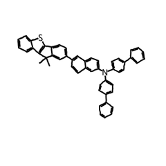 CC1(C)c2cc(-c3ccc4cc(N(c5ccc(-c6ccccc6)cc5)c5ccc(-c6ccccc6)cc5)ccc4c3)ccc2-c2sc3ccccc3c21